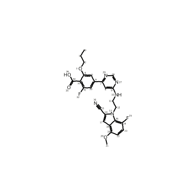 CCCOc1cc(-c2cc(NCCn3c(C#N)cc4c(OC)ccc(F)c43)ncn2)cc(F)c1C(=O)O